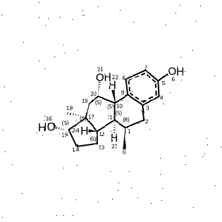 C[C@@H]1Cc2cc(O)ccc2[C@@H]2[C@@H]1[C@@H]1CC[C@H](O)[C@@]1(C)C[C@@H]2O